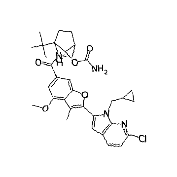 COc1cc(C(=O)N2CC3CCC2(C(C)(C)C)[C@@H]3OC(N)=O)cc2oc(-c3cc4ccc(Cl)nc4n3CC3CC3)c(C)c12